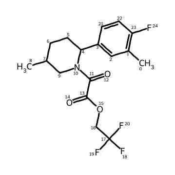 Cc1cc(C2CCC(C)CN2C(=O)C(=O)OCC(F)(F)F)ccc1F